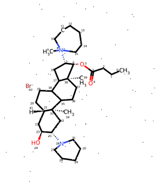 CCCC(=O)O[C@H]1[C@@H]([N+]2(C)CCCCCC2)CC2C3CC[C@H]4C[C@H](O)[C@@H](N5CCCCC5)C[C@]4(C)C3CC[C@@]21C.[Br-]